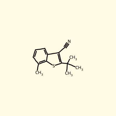 Cc1cccc2c(C#N)c(C(C)(C)C)sc12